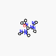 c1ccc(-c2cc(-c3cc(-c4cc(-c5ccccc5)nc(-c5cnc6ccccc6c5)n4)cc(-c4nc5c6ccccc6c6ccccc6c5o4)c3)nc(-c3cnc4ccccc4c3)n2)cc1